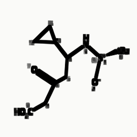 CC(C)(C)[S@@+]([O-])NC(CC(=O)CC(=O)O)C1CC1